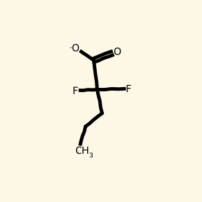 CCCC(F)(F)C([O])=O